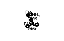 COc1ccc(F)c2c1C[C@@H](N(Cc1ccccc1)Cc1ccccc1)CO2.COc1ccc(F)c2c1C[C@@H](N)CO2